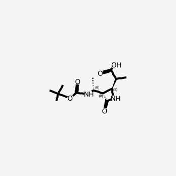 CC(C(=O)O)[C@H]1NC(=O)[C@@H]1[C@@H](C)NC(=O)OC(C)(C)C